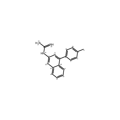 Cc1ccc(-c2nc(NC(=N)N)nc3ccccc23)cc1